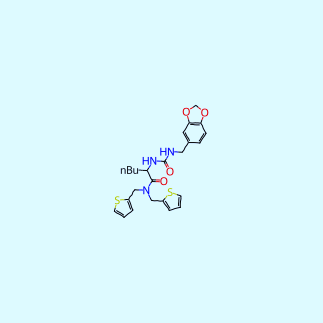 CCCCC(NC(=O)NCc1ccc2c(c1)OCO2)C(=O)N(Cc1cccs1)Cc1cccs1